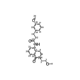 COCCn1ccc2c(NC(=O)CCc3cccc(OC)c3)cccc2c1=O